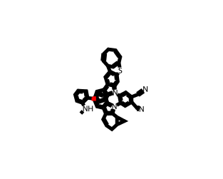 CNc1ccccc1-c1ccc2c(c1)c1c(n2-c2cc(C#N)c(C#N)cc2-n2c3ccccc3c3cc4c(cc32)SC2=CC4C#CC/C=C\2)C2CC2CC=C1